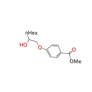 CCCCCCC(O)COc1ccc(C(=O)OC)cc1